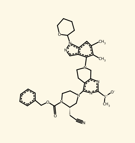 Cc1cc2c(cnn2C2CCCCO2)c(N2CCc3c(nc([S+](C)[O-])nc3N3CCN(C(=O)OCc4ccccc4)[C@@H](CC#N)C3)C2)c1C